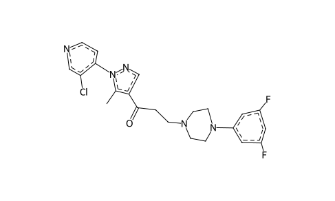 Cc1c(C(=O)CCN2CCN(c3cc(F)cc(F)c3)CC2)cnn1-c1ccncc1Cl